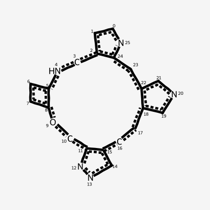 c1cc2c[nH]c3ccc3occ3nncc3ccc3cncc3cc2n1